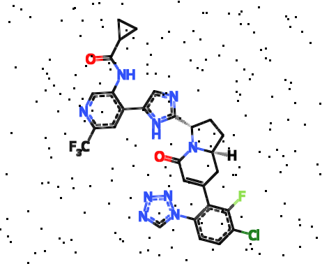 O=C(Nc1cnc(C(F)(F)F)cc1-c1cnc([C@@H]2CC[C@H]3CC(c4c(-n5cnnn5)ccc(Cl)c4F)=CC(=O)N32)[nH]1)C1CC1